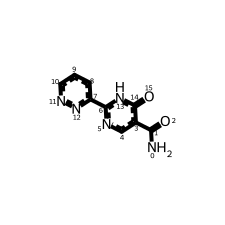 NC(=O)c1cnc(-c2cccnn2)[nH]c1=O